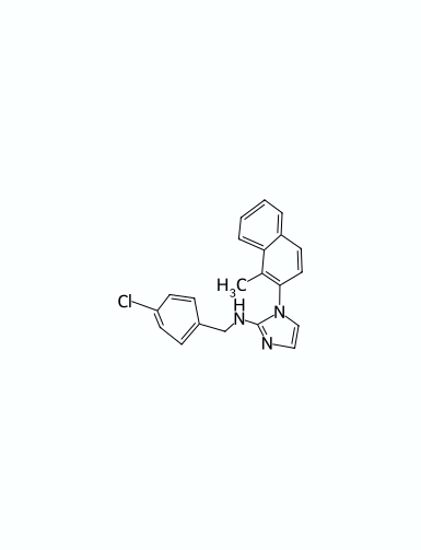 Cc1c(-n2ccnc2NCc2ccc(Cl)cc2)ccc2ccccc12